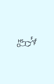 FC(F)(F)c1ccc(CCl)c(S)c1